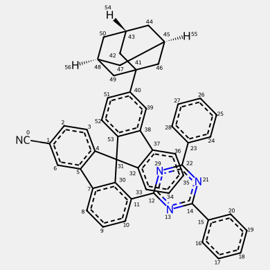 N#Cc1ccc2c(c1)-c1cccc(-c3nc(-c4ccccc4)nc(-c4ccccc4)n3)c1C21c2ccccc2-c2cc(C34C[C@H]5C[C@@H](C3)C[C@@H](C4)C5)ccc21